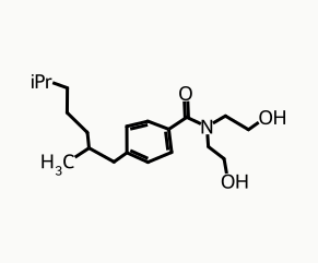 CC(C)CCCC(C)Cc1ccc(C(=O)N(CCO)CCO)cc1